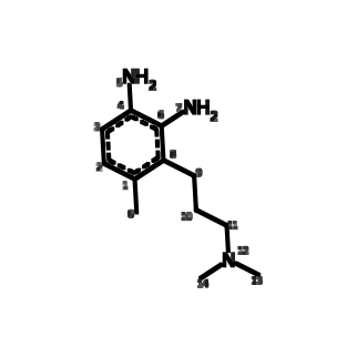 Cc1ccc(N)c(N)c1CCCN(C)C